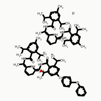 CC(NC(=O)c1c(C(C)C)cc(C)cc1C(C)C)=C1C=CCC(=C(C)NC(=O)c2c(C(C)C)cc(C)cc2C(C)C)N1.CC(NC(=O)c1c(C(C)C)cc(C)cc1C(C)C)=C1C=CCC(=C(C)NC(=O)c2c(C(C)C)cc(C)cc2C(C)C)N1.[Zr].c1cc[c]([Zr][c]2ccccc2)cc1